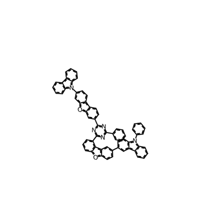 c1ccc(-c2nc(-c3ccc4c(c3)oc3cc(-n5c6ccccc6c6ccccc65)ccc34)nc(-c3cccc4oc5ccc(-c6ccc7c(c6)c6ccccc6n7-c6ccccc6)cc5c34)n2)cc1